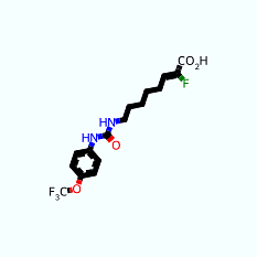 O=C(NCCCCCC=C(F)C(=O)O)Nc1ccc(OC(F)(F)F)cc1